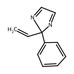 C=CC1(c2ccccc2)N=CC=N1